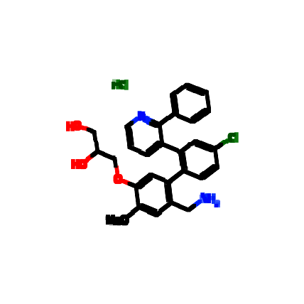 COc1cc(CN)c(-c2ccc(Cl)cc2-c2cccnc2-c2ccccc2)cc1OCC(O)CO.Cl